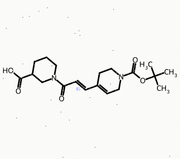 CC(C)(C)OC(=O)N1CC=C(/C=C/C(=O)N2CCCC(C(=O)O)C2)CC1